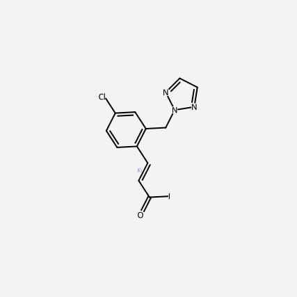 O=C(I)/C=C/c1ccc(Cl)cc1Cn1nccn1